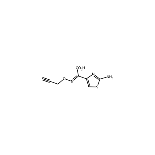 C#CCON=C(C(=O)O)c1csc(N)n1